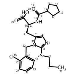 CCCSc1ncc(C[C@H](NC(=O)C2CCCC2)C(=O)O)n1Cc1ccccc1Cl